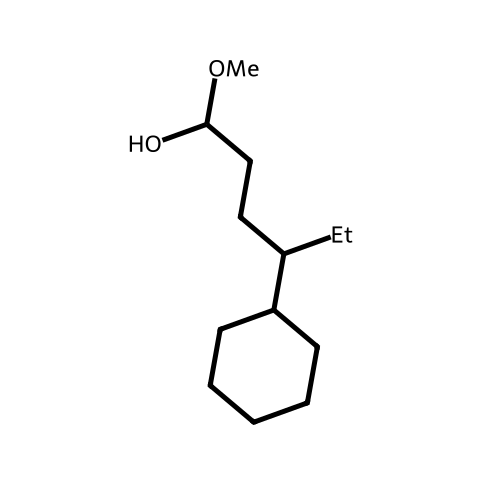 CCC(CCC(O)OC)C1CCCCC1